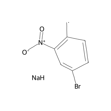 [CH2]c1ccc(Br)cc1[N+](=O)[O-].[NaH]